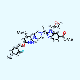 COC(=O)c1ccc2nc([C@H](C)N3CCN(C4(C)C=C(OC)C=C(OCc5ccc(C#N)cc5F)N4)CC3)n(C[C@@H]3CCO3)c2c1